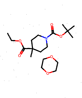 C1COCCO1.CCOC(=O)C1(C)CCN(C(=O)OC(C)(C)C)CC1